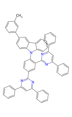 Cc1cccc(-c2ccc3c(c2)c2ccccc2n3-c2ccc(-c3nc(-c4ccccc4)cc(-c4ccccc4)n3)cc2-c2nc(-c3ccccc3)cc(-c3ccccc3)n2)c1